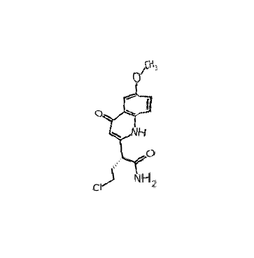 COc1ccc2[nH]c([C@@H](CCCl)C(N)=O)cc(=O)c2c1